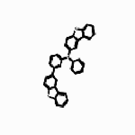 c1ccc(N(c2cccc(-c3ccc4sc5ccccc5c4c3)c2)c2ccc3sc4ccccc4c3c2)cc1